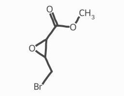 COC(=O)C1OC1CBr